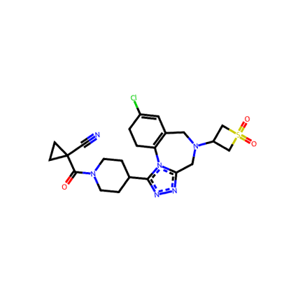 N#CC1(C(=O)N2CCC(c3nnc4n3C3=C(C=C(Cl)CC3)CN(C3CS(=O)(=O)C3)C4)CC2)CC1